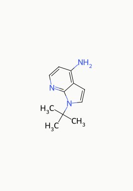 CC(C)(C)n1ccc2c(N)ccnc21